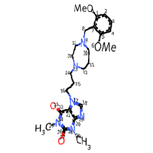 COc1cccc(OC)c1CN1CCCN(CCCn2cnc3c2c(=O)n(C)c(=O)n3C)CC1